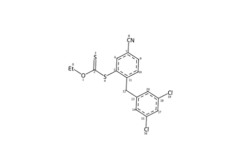 CCOC(=S)Sc1cc(C#N)ccc1Cc1cc(Cl)cc(Cl)c1